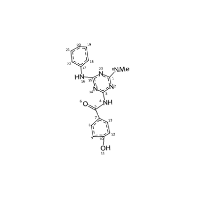 CNc1nc(NC(=O)c2ccc(O)cc2)nc(Nc2ccccc2)n1